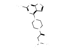 CN(C)CC(=O)N1CCN(c2nc(N)nc3sccc23)CC1